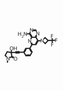 CN1CCC(O)(C#Cc2cccc(-c3cc(N4CC(C(F)(F)F)C4)c4ncnc(N)c4n3)c2)C1=O